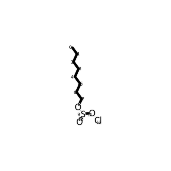 CCCCCCCCOS(=O)OCl